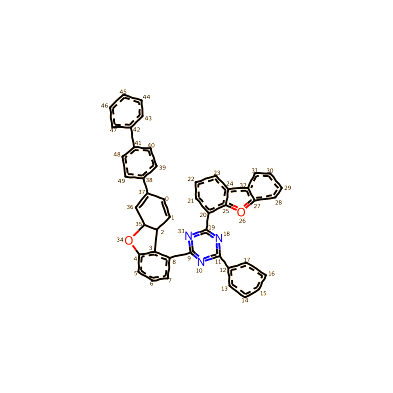 C1=CC2c3c(cccc3-c3nc(-c4ccccc4)nc(-c4cccc5c4oc4ccccc45)n3)OC2C=C1c1ccc(-c2ccccc2)cc1